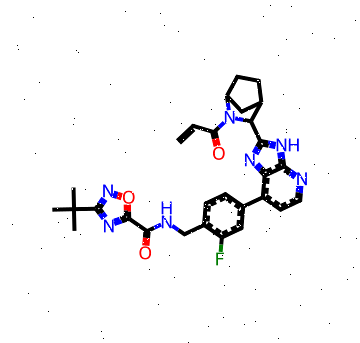 C=CC(=O)N1C2CCC(C2)C1c1nc2c(-c3ccc(CNC(=O)c4nc(C(C)(C)C)no4)c(F)c3)ccnc2[nH]1